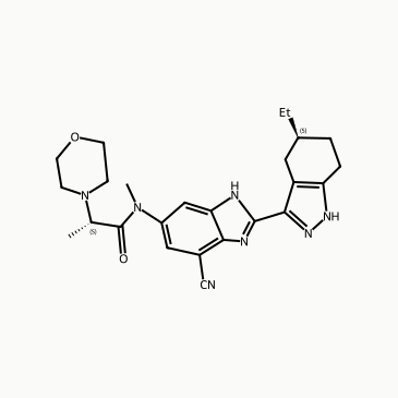 CC[C@H]1CCc2[nH]nc(-c3nc4c(C#N)cc(N(C)C(=O)[C@H](C)N5CCOCC5)cc4[nH]3)c2C1